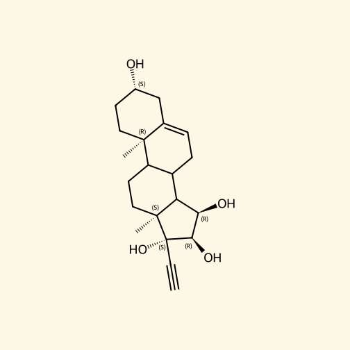 C#C[C@]1(O)[C@H](O)[C@H](O)C2C3CC=C4C[C@@H](O)CC[C@]4(C)C3CC[C@@]21C